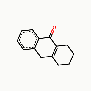 O=C1C2=C(CCCC2)Cc2ccccc21